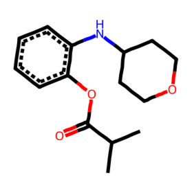 CC(C)C(=O)Oc1ccccc1NC1CCOCC1